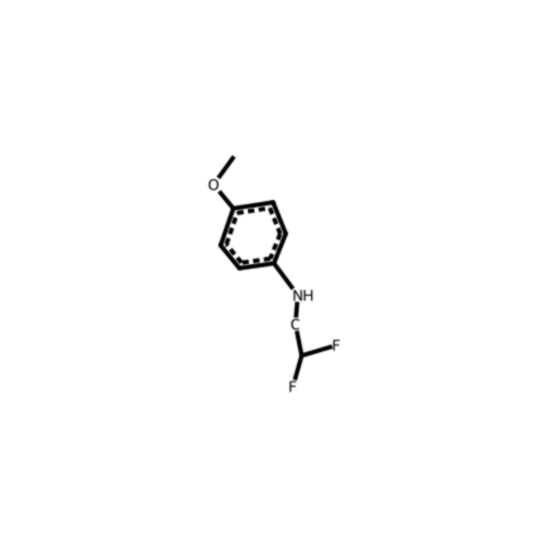 COc1ccc(NCC(F)F)cc1